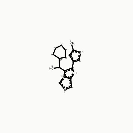 Cc1cc(-c2sc3cncn3c2C(O)C2CCCCC2)cs1